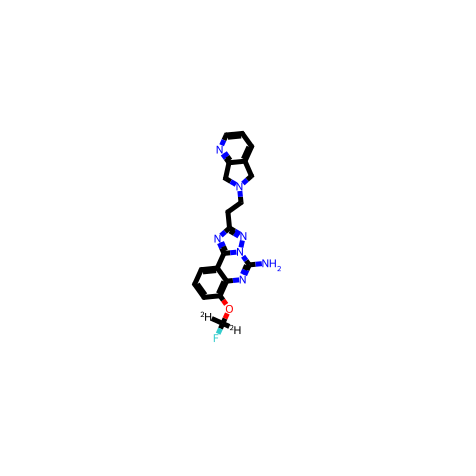 [2H]C([2H])(F)Oc1cccc2c1nc(N)n1nc(CCN3Cc4cccnc4C3)nc21